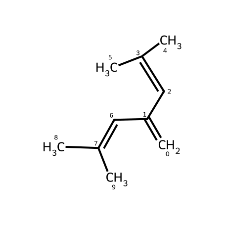 C=C(C=C(C)C)C=C(C)C